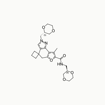 Cc1c(C(=O)NC[C@@H]2COCCO2)oc2c1-c1nn(C[C@H]3COCCO3)cc1C1(CCC1)C2